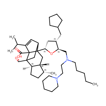 CCCCCN(CCN1CCCCC1)C[C@H]1O[C@H](C23C[C@@H]4[C@H](C)CC[C@H]4C4(C=O)CC2C=C(C(C)C)C43C(=O)O)C[C@@H]1CC1CCCC1